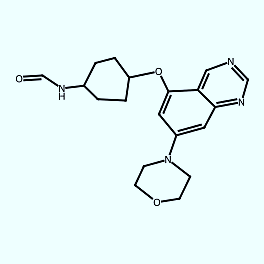 O=CNC1CCC(Oc2cc(N3CCOCC3)cc3ncncc23)CC1